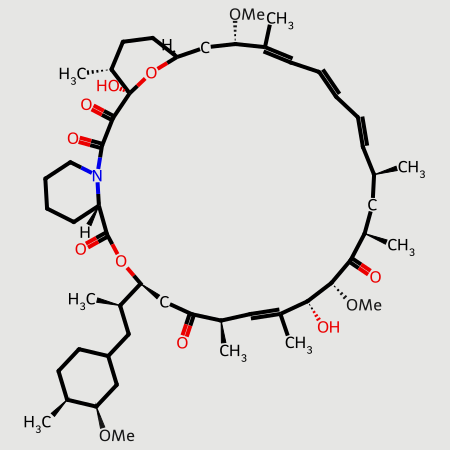 CO[C@H]1C[C@@H]2CC[C@@H](C)[C@@](O)(O2)C(=O)C(=O)N2CCCC[C@H]2C(=O)O[C@H]([C@H](C)CC2CC[C@H](C)[C@H](OC)C2)CC(=O)[C@H](C)/C=C(\C)[C@@H](O)[C@@H](OC)C(=O)[C@H](C)C[C@H](C)/C=C/C=C/C=C/1C